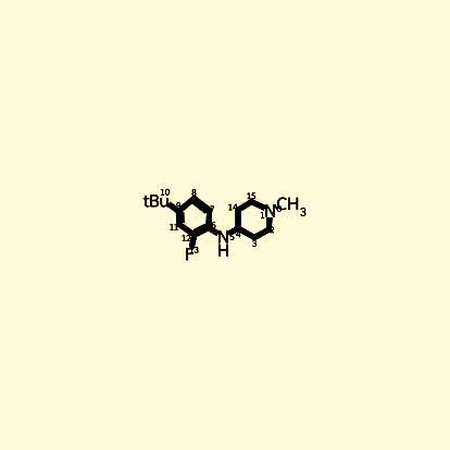 CN1CCC(Nc2ccc(C(C)(C)C)cc2F)CC1